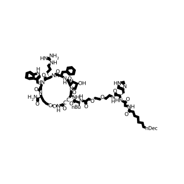 CCCCCCCCCCCCCCCCC(=O)NCC(=O)N[C@@H](Cc1c[nH]cn1)C(=O)NCCOCCOCC(=O)N[C@@H](CCCC)C(=O)N[C@H]1CCC(=O)NCCCC[C@@H](C(N)=O)NC(=O)[C@H](Cc2c[nH]c3ccccc23)NC(=O)[C@H](CCCNC(=N)N)NC(=O)C(Cc2ccccc2)NC(=O)[C@@H]2C[C@@H](O)CN2C1=O